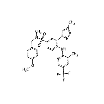 COc1ccc(CN(C)S(=O)(=O)c2ccc(Nc3ncc(C(F)(F)F)cc3C)c(-c3cn(C)cn3)c2)cc1